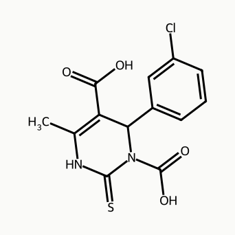 CC1=C(C(=O)O)C(c2cccc(Cl)c2)N(C(=O)O)C(=S)N1